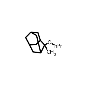 CCCOC1(C)C2CC3CC(C2)CC1C3